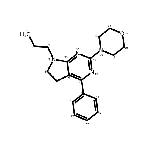 CCCN1CCc2c(-c3ccccc3)nc(N3CCOCC3)nc21